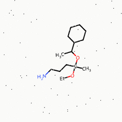 CCO[Si](C)(CCCN)OC(C)C1CCCCC1